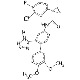 COc1ccc(-c2ccc(NC(=O)C3(c4ccc(F)c(Cl)c4)CC3)cc2-c2nnn[nH]2)cc1OC